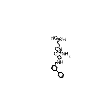 NC(CCCCB(O)O)(C(=O)O)[C@H]1C[C@@H](NCc2cccc(-c3ccccc3)c2)C1